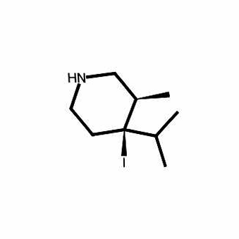 CC(C)[C@]1(I)CCNC[C@H]1C